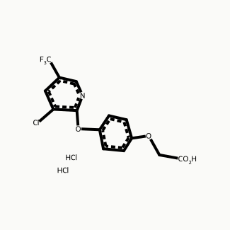 Cl.Cl.O=C(O)COc1ccc(Oc2ncc(C(F)(F)F)cc2Cl)cc1